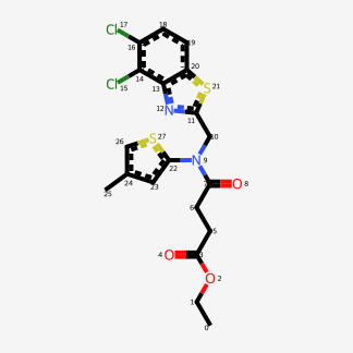 CCOC(=O)CCC(=O)N(Cc1nc2c(Cl)c(Cl)ccc2s1)c1cc(C)cs1